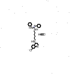 Cl.Cl.Cl.Clc1ccc2c(NCCCCCCN/C(=N\c3ccccc3)Nc3ccccc3)ccnc2c1